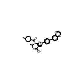 CC1CCC(C(=O)N(c2nn(-c3ccc(-c4ccc5nccnc5c4)cc3)cc2C(=O)O)C(C)C)CC1